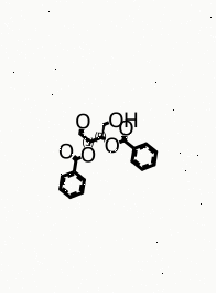 O=C[C@@H](OC(=O)c1ccccc1)[C@@H](CO)OC(=O)c1ccccc1